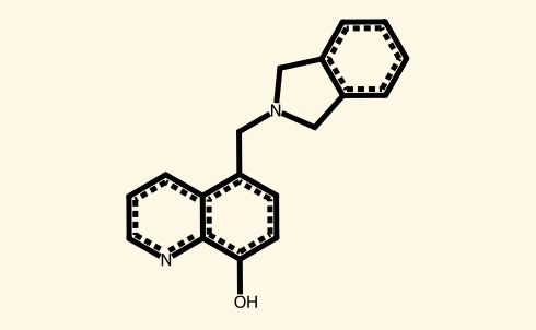 Oc1ccc(CN2Cc3ccccc3C2)c2cccnc12